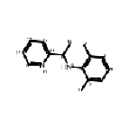 Cc1cccc(C)c1NC(C)c1ccccn1